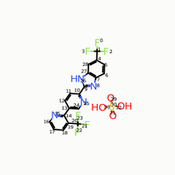 FC(F)(F)c1ccc2nc(-c3ccc(-c4ncccc4C(F)(F)F)cn3)[nH]c2c1.O=S(=O)(O)O